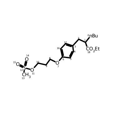 CCCCC(Cc1ccc(OCCCOS(C)(=O)=O)cc1)C(=O)OCC